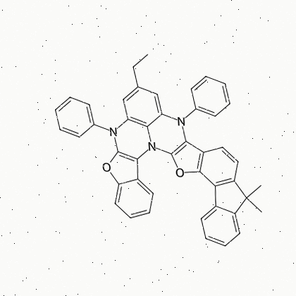 CCc1cc2c3c(c1)N(c1ccccc1)c1c(oc4c5c(ccc14)C(C)(C)c1ccccc1-5)N3c1c(oc3ccccc13)N2c1ccccc1